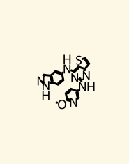 COc1ccc(Nc2nc(Nc3ccc4[nH]ncc4c3)c3sccc3n2)cn1